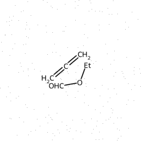 C=C=C.CCOC=O